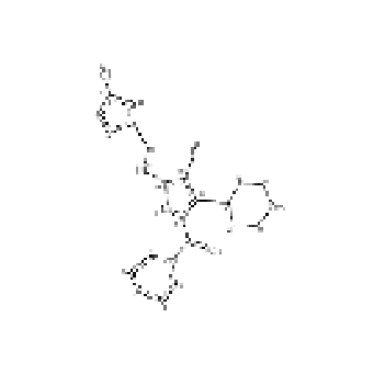 O=C(c1ccccc1)n1nc(NCc2ccc(Cl)s2)c(F)c1C1CCOCC1